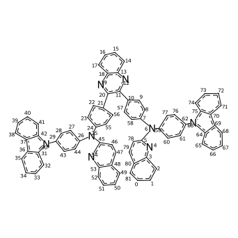 c1ccc2nc(N(c3ccc(-c4nc5ccccc5nc4-c4ccc(N(c5ccc(-n6c7ccccc7c7ccccc76)cc5)c5ccc6ccccc6n5)cc4)cc3)c3ccc(-n4c5ccccc5c5ccccc54)cc3)ccc2c1